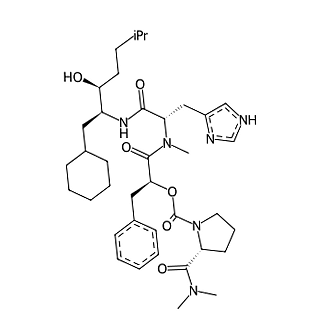 CC(C)CC[C@H](O)[C@H](CC1CCCCC1)NC(=O)[C@H](Cc1c[nH]cn1)N(C)C(=O)[C@H](Cc1ccccc1)OC(=O)N1CCC[C@@H]1C(=O)N(C)C